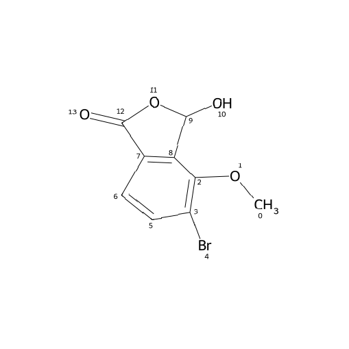 COc1c(Br)ccc2c1C(O)OC2=O